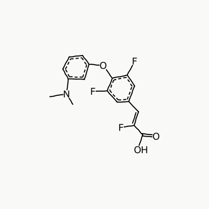 CN(C)c1cccc(Oc2c(F)cc(C=C(F)C(=O)O)cc2F)c1